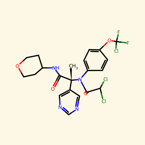 C[C@](C(=O)NC1CCOCC1)(c1cncnc1)N(C(=O)C(Cl)Cl)c1ccc(OC(F)(F)Cl)cc1